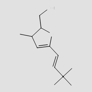 CC1C=C(/C=C/C(C)(C)C)OC1CO